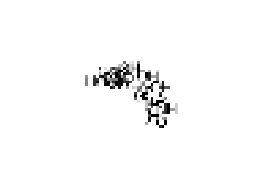 Cc1cn([C@@H]2O[C@H](COP(=O)(O)OP(=O)(O)O)[C@@H](O)[C@H]2O)c(=S)[nH]c1=O